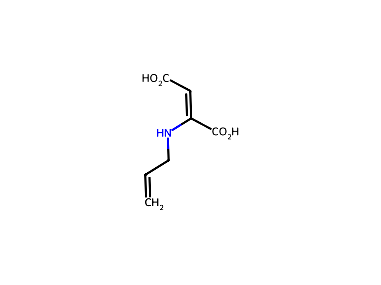 C=CCNC(=CC(=O)O)C(=O)O